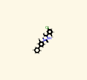 C=C(N/C(=C/C)c1cc(Cl)ccc1C)N(C)c1ccc(C2CCCCC2)cc1C